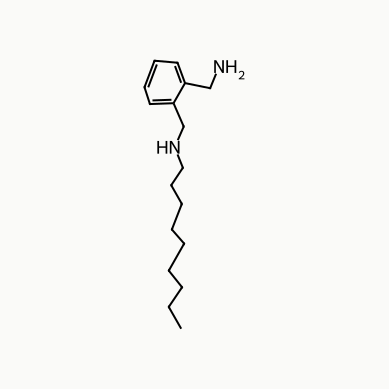 CCCCCCCCCNCc1ccccc1CN